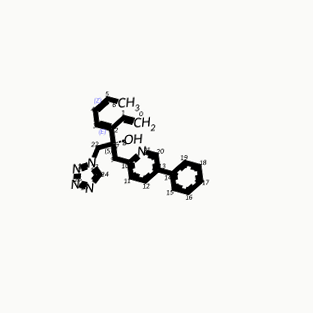 C=C/C(=C\C=C/C)[C@@](O)(Cc1ccc(-c2ccccc2)cn1)Cn1cnnn1